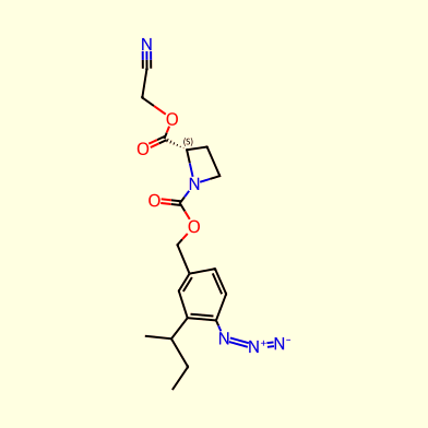 CCC(C)c1cc(COC(=O)N2CC[C@H]2C(=O)OCC#N)ccc1N=[N+]=[N-]